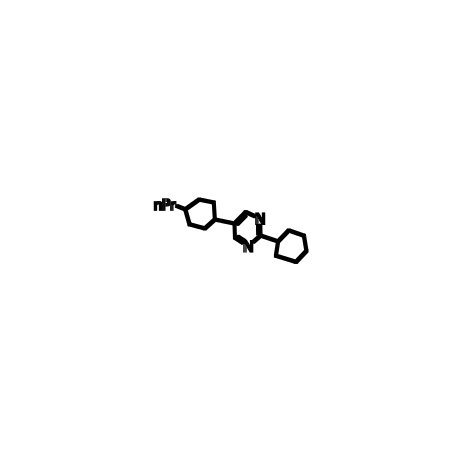 CCCC1CCC(c2cnc(C3CCCCC3)nc2)CC1